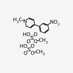 CN1C=CC(c2cccc([N+](=O)[O-])c2)=CC1.COS(=O)(=O)O.COS(=O)(=O)O